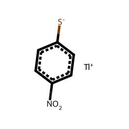 O=[N+]([O-])c1ccc([S-])cc1.[Tl+]